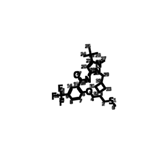 CSCCCOc1ccc(C(F)(F)F)cc1C(=O)N=c1cc(C(C)(C)C)n(C)n1CC1CCC1